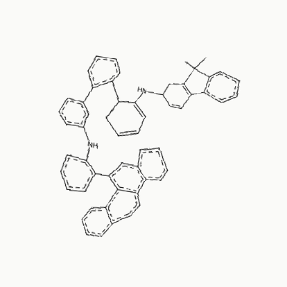 CC1(C)C2=C(C=CC(NC3=CC=CCC3c3ccccc3-c3cccc(Nc4ccccc4-c4cc5ccccc5c5ccc6ccccc6c45)c3)C2)c2ccccc21